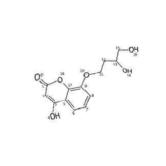 O=c1cc(O)c2cccc(OCCC(O)CO)c2o1